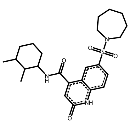 CC1CCCC(NC(=O)c2cc(=O)[nH]c3ccc(S(=O)(=O)N4CCCCCC4)cc23)C1C